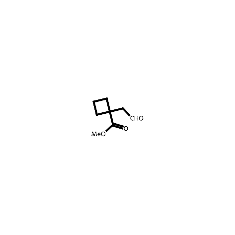 COC(=O)C1(CC=O)CCC1